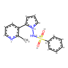 Cc1ncccc1-c1cccn1NS(=O)(=O)c1ccccc1